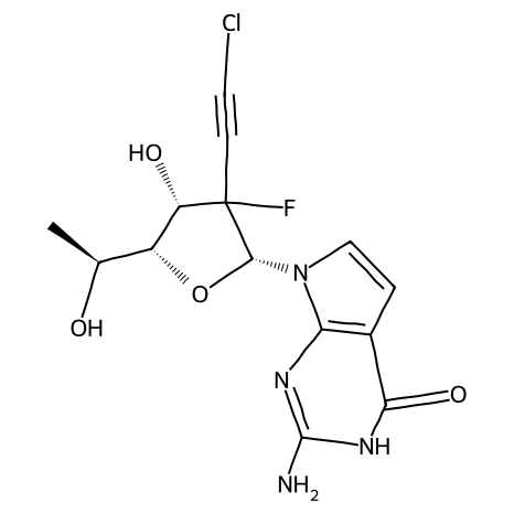 C[C@H](O)[C@H]1O[C@@H](n2ccc3c(=O)[nH]c(N)nc32)C(F)(C#CCl)[C@H]1O